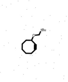 CC(C)(C)COC1C#CCCCCC1